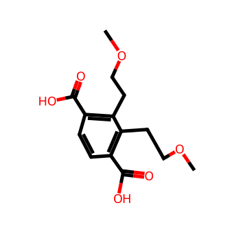 COCCc1c(C(=O)O)ccc(C(=O)O)c1CCOC